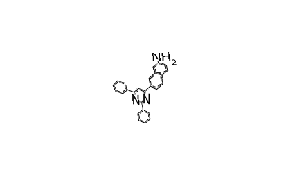 Nc1ccc2ccc(-c3cc(-c4ccccc4)nc(-c4ccccc4)n3)cc2c1